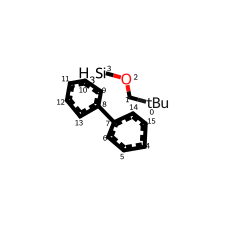 CC(C)(C)CO[SiH3].c1ccc(-c2ccccc2)cc1